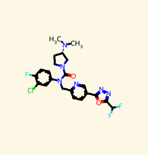 CN(C)[C@H]1CCN(C(=O)N(Cc2ccc(-c3nnc(C(F)F)o3)cn2)c2ccc(F)c(Cl)c2)C1